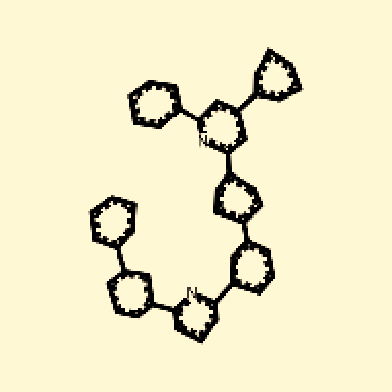 c1ccc(-c2cccc(-c3cccc(-c4cccc(-c5ccc(-c6cc(-c7ccccc7)cc(-c7ccccc7)n6)cc5)c4)n3)c2)cc1